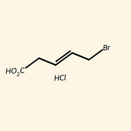 Cl.O=C(O)CC=CCBr